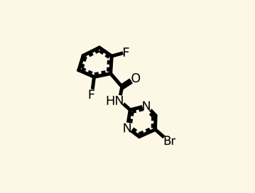 O=C(Nc1ncc(Br)cn1)c1c(F)cccc1F